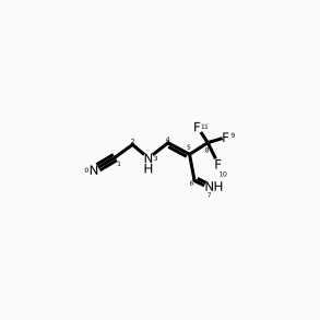 N#CCN/C=C(\C=N)C(F)(F)F